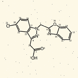 O=C(O)Cc1nn(Cc2nc3ccccc3o2)c2ccc(Cl)cc12